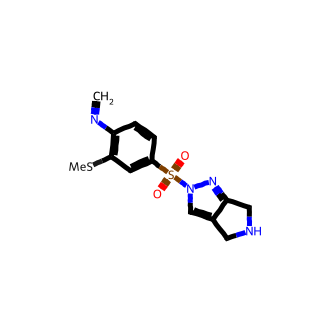 C=Nc1ccc(S(=O)(=O)n2cc3c(n2)CNC3)cc1SC